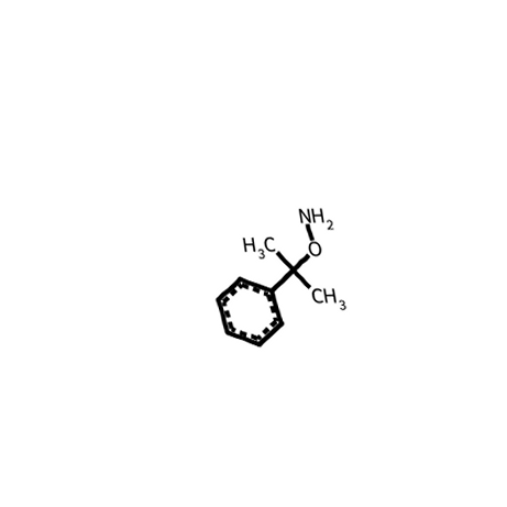 CC(C)(ON)c1ccccc1